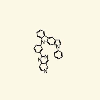 c1ccc(-n2ccc3cc4c5ccccc5n(-c5cccc(-c6ncc7cnccc7n6)c5)c4cc32)cc1